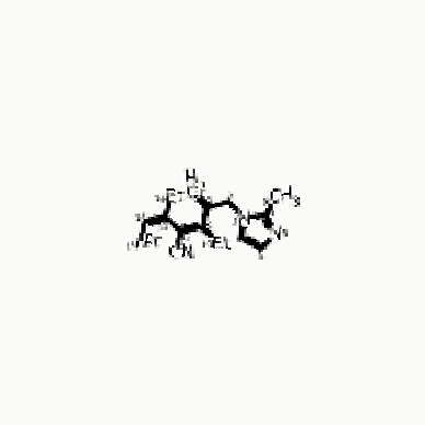 C=C(Cn1ccnc1C)/C(CC)=C(C#N)\C(=C/CCC)CC